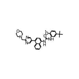 COc1ccc(C(C)(C)C)cc1NC(=O)Nc1ccc(-c2cnc(CN3CCOCC3)nc2)c2ccccc12